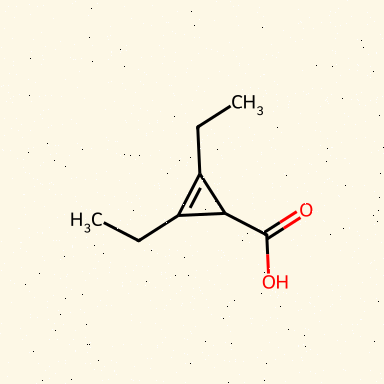 CCC1=C(CC)C1C(=O)O